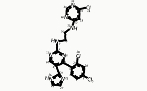 Clc1ccc(-c2nc(NCCNc3cc(Cl)ncn3)ncc2-c2ncc[nH]2)c(Cl)c1